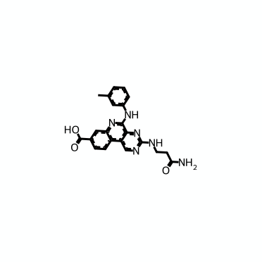 Cc1cccc(Nc2nc3cc(C(=O)O)ccc3c3cnc(NCCC(N)=O)nc23)c1